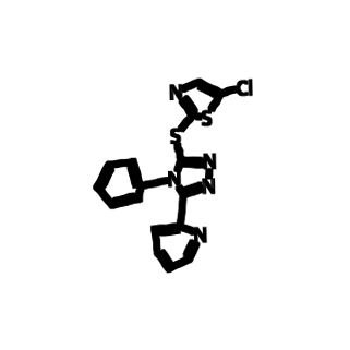 Clc1cnc(Sc2nnc(-c3ccccn3)n2-c2ccccc2)s1